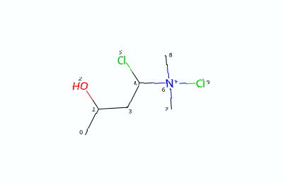 CC(O)CC(Cl)[N+](C)(C)Cl